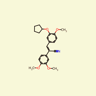 COc1ccc(/C(C#N)=C/c2ccc(OC)c(OC3CCCC3)c2)cc1OC